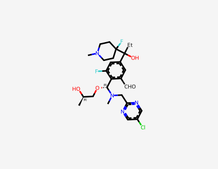 CCC(O)(c1cc(F)c([C@@H](OC[C@@H](C)O)N(C)Cc2ncc(Cl)cn2)c(C=O)c1)C1(F)CCN(C)CC1